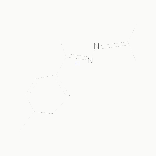 CC(C)=N/N=C(\C)C1=CCC(C)C=C1